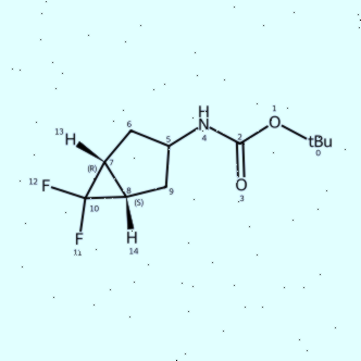 CC(C)(C)OC(=O)NC1C[C@@H]2[C@H](C1)C2(F)F